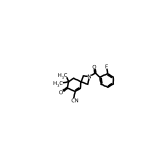 CC1(C)CC2(C=C(C#N)C1=O)CN(C(=O)c1ccccc1F)C2